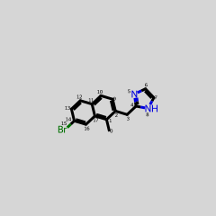 Cc1c(Cc2ncc[nH]2)ccc2ccc(Br)cc12